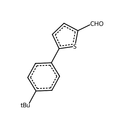 CC(C)(C)c1ccc(-c2ccc(C=O)s2)cc1